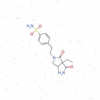 CCC1(C(N)=O)C(=O)N(CCc2ccc(S(N)(=O)=O)cc2)CC1C